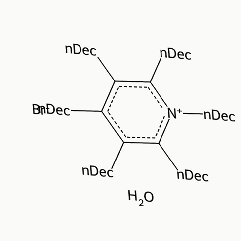 CCCCCCCCCCc1c(CCCCCCCCCC)c(CCCCCCCCCC)[n+](CCCCCCCCCC)c(CCCCCCCCCC)c1CCCCCCCCCC.O.[Br-]